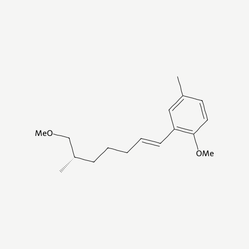 COC[C@@H](C)CCC/C=C/c1cc(C)ccc1OC